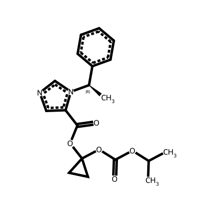 CC(C)OC(=O)OC1(OC(=O)c2cncn2[C@H](C)c2ccccc2)CC1